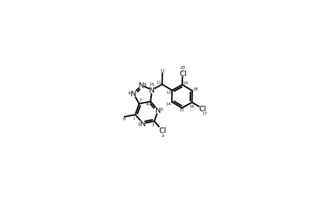 Cc1nc(Cl)nc2c1nnn2C(C)c1ccc(Cl)cc1Cl